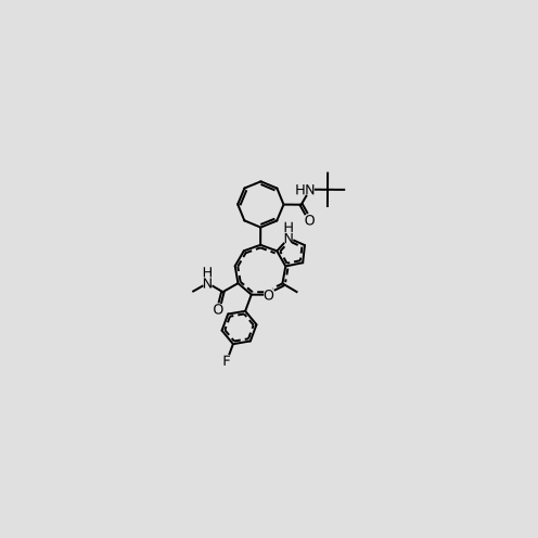 CNC(=O)c1ccc(/C2=C/C(C(=O)NC(C)(C)C)/C=C\C=C/C2)c2[nH]ccc2c(C)oc1-c1ccc(F)cc1